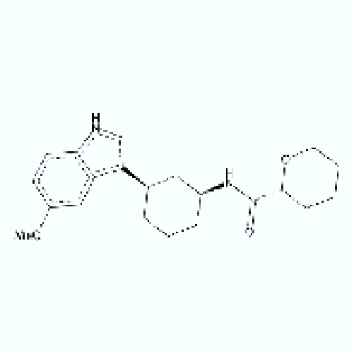 COc1ccc2[nH]cc([C@@H]3CCC[C@H](NC(=O)[C@H]4CCCCO4)C3)c2c1